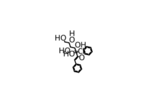 OCC(O)C(O)C(O)[C@](O)(Cl)C(=Cc1ccccc1)Oc1ccccc1